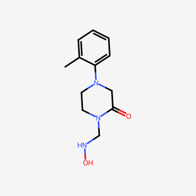 Cc1ccccc1N1CCN(CNO)C(=O)C1